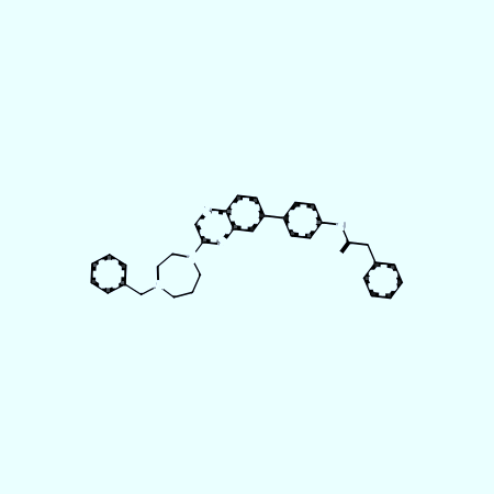 O=C(Cc1ccccc1)Nc1ccc(-c2ccc3ncc(N4CCCN(Cc5ccccc5)CC4)nc3c2)cc1